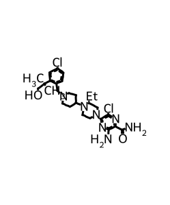 CC[C@H]1CN(c2nc(N)c(C(N)=O)nc2Cl)CCN1C1CCN(Cc2ccc(Cl)cc2C(C)(C)CO)CC1